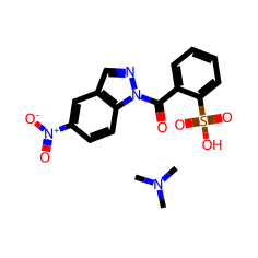 CN(C)C.O=C(c1ccccc1S(=O)(=O)O)n1ncc2cc([N+](=O)[O-])ccc21